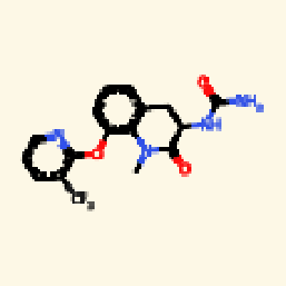 CN1C(=O)C(NC(N)=O)Cc2cccc(Oc3ncccc3C(F)(F)F)c21